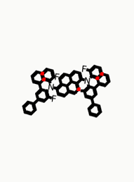 Fc1ccccc1N(C1=CC=C2C=CC3=C(N(c4ccccc4F)c4c(F)cc(-c5ccccc5)cc4-c4ccccc4)C=CC4=CC=C1C2C43)c1c(F)cc(-c2ccccc2)cc1-c1ccccc1